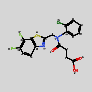 O=C(O)CCC(=O)N(Cc1nc2ccc(F)c(F)c2s1)c1ccccc1Cl